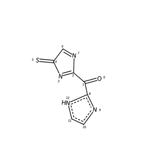 O=C(C1=NC(=S)C=N1)c1ncc[nH]1